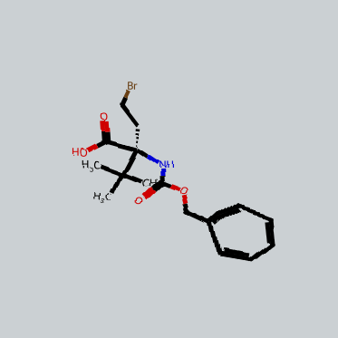 CC(C)(C)[C@](CCBr)(NC(=O)OCc1ccccc1)C(=O)O